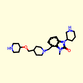 Cn1c(=O)n(C2CCCNC2)c2cccc(CN3CCC(COC4CCNCC4)CC3)c21